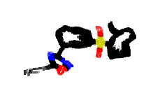 Cc1ccccc1S(=O)(=O)c1[c]ccc(-c2noc(C(F)(F)F)n2)c1